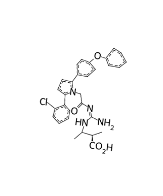 CC(NC(N)=NC(=O)Cn1c(-c2ccc(Oc3ccccc3)cc2)ccc1-c1ccccc1Cl)[C@@H](C)C(=O)O